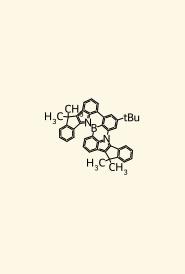 CC(C)(C)c1cc2c3c(c1)-n1c4c(c5cccc(c51)B3n1c3c(c5cccc-2c51)C(C)(C)c1ccccc1-3)C(C)(C)c1ccccc1-4